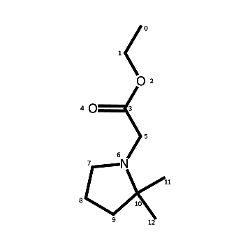 CCOC(=O)CN1CCCC1(C)C